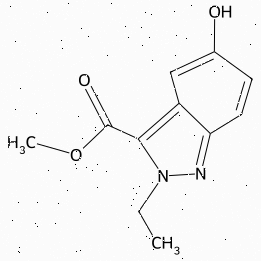 CCn1nc2ccc(O)cc2c1C(=O)OC